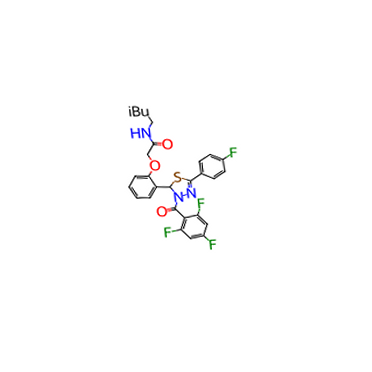 CCC(C)CNC(=O)COc1ccccc1C1SC(c2ccc(F)cc2)=NN1C(=O)c1c(F)cc(F)cc1F